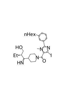 CCCCCCc1cccc(-c2nc(I)c(C(=O)N3CCC(C(=N)[C@@H](CC)CO)CC3)n2C)c1